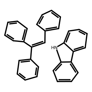 C(=C(c1ccccc1)c1ccccc1)c1ccccc1.c1ccc2c(c1)[nH]c1ccccc12